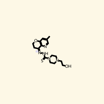 Cc1cnc2c(c1)OCC/C2=N/NC(=S)N1CCN(CCO)CC1